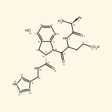 CC(C)[C@H](N)C(=O)NC(CCC(=O)O)C(=O)N1c2ncccc2C[C@H]1C(=O)NCc1nn[nH]n1.Cl